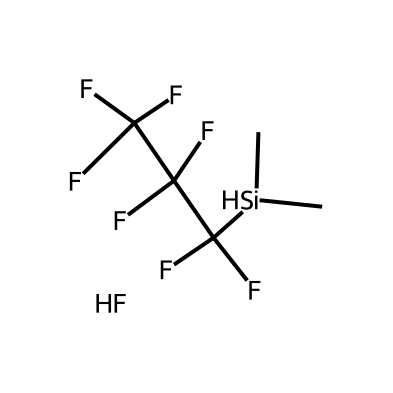 C[SiH](C)C(F)(F)C(F)(F)C(F)(F)F.F